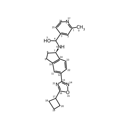 Cc1cc(C(O)N[C@@H]2CCc3cc(-c4noc(C5CCC5)n4)ccc32)ccn1